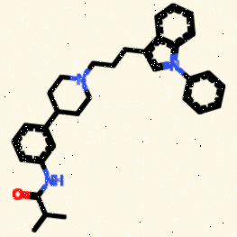 CC(C)C(=O)Nc1cccc(C2CCN(CCCc3cn(-c4ccccc4)c4ccccc34)CC2)c1